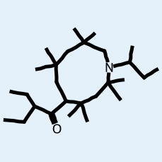 CCC(CC)C(=O)C1CC(C)(C)CC(C)(C)CN(C(C)CC)C(C)(C)CC1(C)C